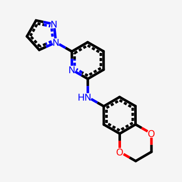 c1cc(Nc2ccc3c(c2)OCCO3)nc(-n2cccn2)c1